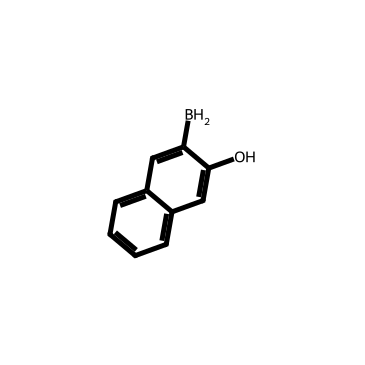 Bc1cc2ccccc2cc1O